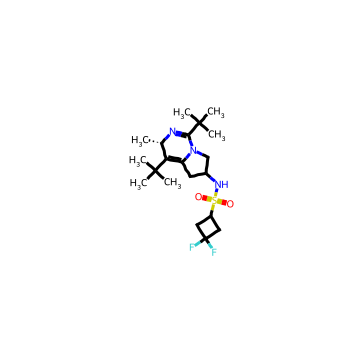 C[C@@H]1N=C(C(C)(C)C)N2CC(NS(=O)(=O)C3CC(F)(F)C3)CC2=C1C(C)(C)C